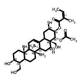 B[C@]12CC[C@H](O)[C@H](CO)C1CC[C@]1(B)C2CC=C2C3C[C@@H](S)[C@@H](OC(=O)/C(C)=C\C)[C@H](OC(C)=O)[C@]3(CO)[C@H](O)C[C@]21B